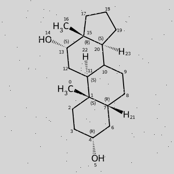 C[C@]12CC[C@@H](O)C[C@H]1CCC1[C@@H]2C[C@H](O)[C@]2(C)CCC[C@@H]12